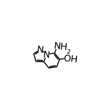 Nc1c(O)ccc2ccnn12